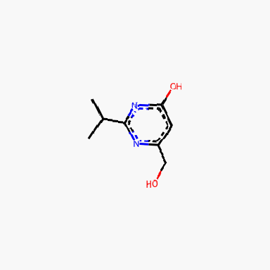 CC(C)c1nc(O)cc(CO)n1